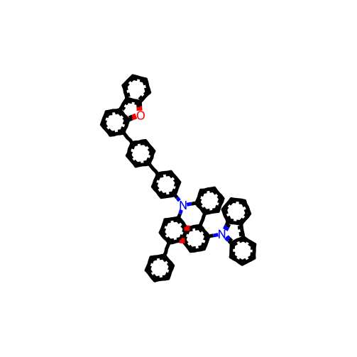 c1ccc(-c2ccc(N(c3ccc(-c4ccc(-c5cccc6c5oc5ccccc56)cc4)cc3)c3ccccc3-c3ccccc3-n3c4ccccc4c4ccccc43)cc2)cc1